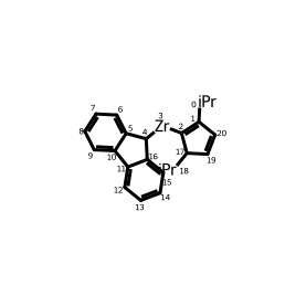 CC(C)C1=[C]([Zr][CH]2c3ccccc3-c3ccccc32)C(C(C)C)C=C1